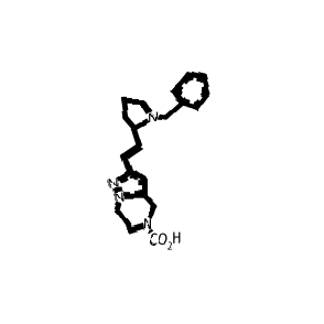 O=C(O)N1CCn2nc(C=CC3CCCN3Cc3ccccc3)cc2C1